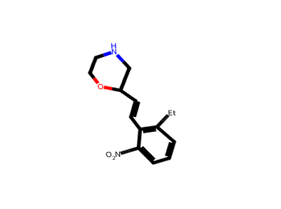 CCc1cccc([N+](=O)[O-])c1C=CC1CNCCO1